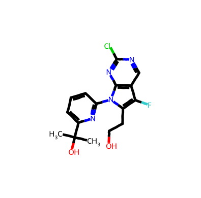 CC(C)(O)c1cccc(-n2c(CCO)c(F)c3cnc(Cl)nc32)n1